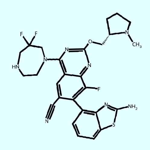 CN1CCC[C@H]1COc1nc(N2CCNCC(F)(F)C2)c2cc(C#N)c(-c3cccc4sc(N)nc34)c(F)c2n1